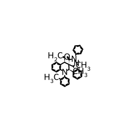 C=C[C@@H]1c2ccccc2N(c2ccccc2C)[C@H](c2ccccc2C)[C@@]12C(=O)N(c1ccccc1)N=C2C